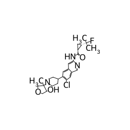 CC(C)(F)[C@H]1C[C@@H]1C(=O)Nc1cc2cc(C3CCN([C@@]4(C)COC[C@H]4O)CC3)c(Cl)cc2cn1